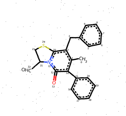 Cc1c(Cc2ccccc2)c2n(c(=O)c1-c1ccccc1)C(C=O)CS2